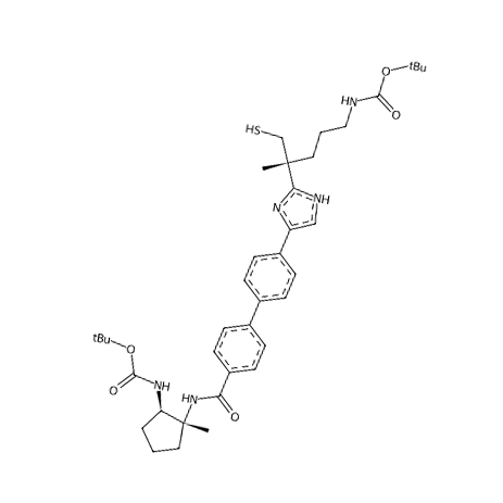 CC(C)(C)OC(=O)NCCC[C@@](C)(CS)c1nc(-c2ccc(-c3ccc(C(=O)N[C@]4(C)CCC[C@H]4NC(=O)OC(C)(C)C)cc3)cc2)c[nH]1